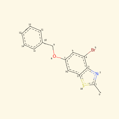 Cc1nc2c(Br)cc(OCc3ccccc3)cc2s1